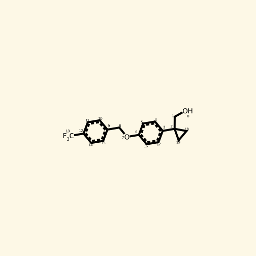 OCC1(c2ccc(OCc3ccc(C(F)(F)F)cc3)cc2)CC1